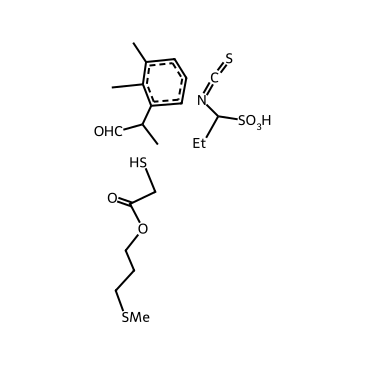 CCC(N=C=S)S(=O)(=O)O.CSCCCOC(=O)CS.Cc1cccc(C(C)C=O)c1C